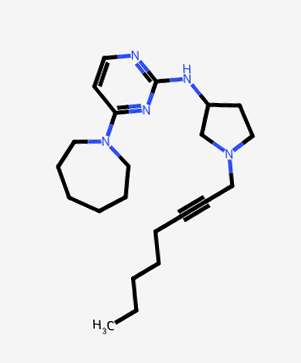 CCCCCC#CCN1CCC(Nc2nccc(N3CCCCCC3)n2)C1